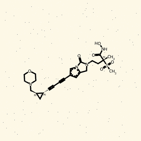 C[C@@](CCN1Cc2cc(C#CC#C[C@@H]3C[C@H]3CN3CCOCC3)cn2C1=O)(C(=O)NO)S(C)(=O)=O